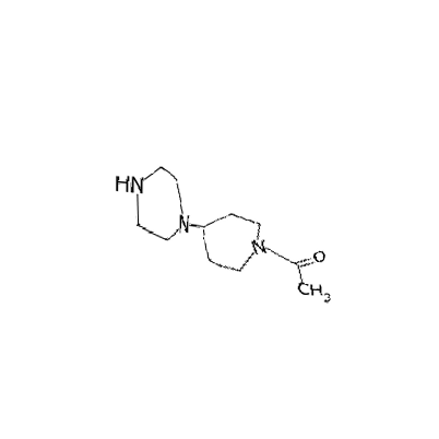 CC(=O)N1CCC(N2CCNCC2)CC1